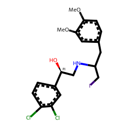 COc1ccc(CC(CI)NC[C@H](O)c2ccc(Cl)c(Cl)c2)cc1OC